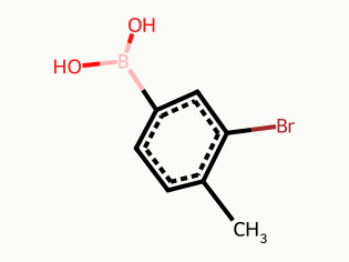 Cc1ccc(B(O)O)cc1Br